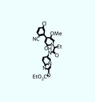 CCOC(=O)Oc1cn2cc(NC(=O)C(CC)n3cc(OC)c(-c4cc(Cl)ccc4C#N)cc3=O)ccc2n1